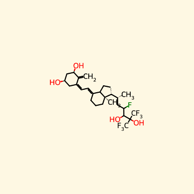 C=C1/C(=C\C=C2CCC[C@@]3(C)C2CC[C@@H]3[C@H](C)CC(F)C(O)C(O)(C(F)(F)F)C(F)(F)F)C[C@@H](O)C[C@H]1O